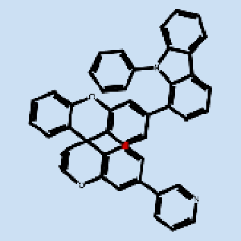 c1ccc(-n2c3ccccc3c3cccc(-c4ccc5c(c4)Oc4ccccc4C54c5ccccc5Oc5cc(-c6cccnc6)ccc54)c32)cc1